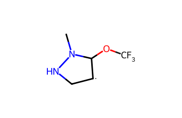 CN1NC[CH]C1OC(F)(F)F